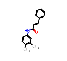 Cc1ccc(NC(=O)C=Cc2ccccc2)cc1C